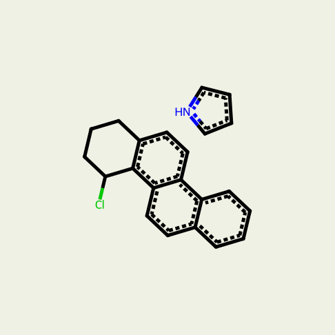 ClC1CCCc2ccc3c(ccc4ccccc43)c21.c1cc[nH]c1